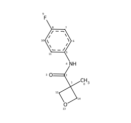 CC1(C(=O)Nc2ccc(F)cc2)COC1